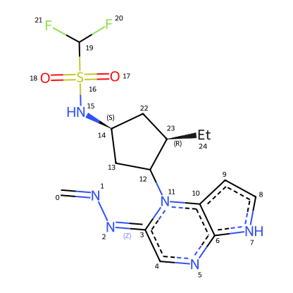 C=N/N=c1/cnc2[nH]ccc2n1C1C[C@@H](NS(=O)(=O)C(F)F)C[C@H]1CC